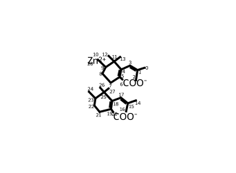 CC(C)=CC1=C(C(=O)[O-])CCC(C)C1(C)C.CC(C)=CC1=C(C(=O)[O-])CCC(C)C1(C)C.[Zn+2]